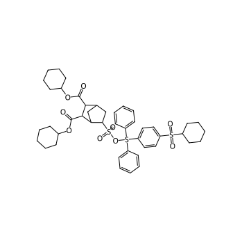 O=C(OC1CCCCC1)C1C2CC(C1C(=O)OC1CCCCC1)C(S(=O)(=O)OS(c1ccccc1)(c1ccccc1)c1ccc(S(=O)(=O)C3CCCCC3)cc1)C2